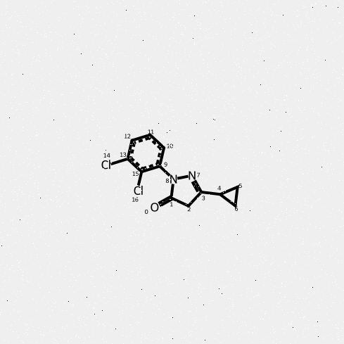 O=C1CC(C2CC2)=NN1c1cccc(Cl)c1Cl